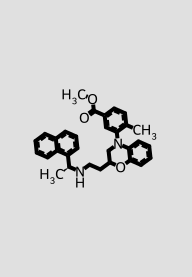 COC(=O)c1ccc(C)c(N2CC(CCN[C@H](C)c3cccc4ccccc34)Oc3ccccc32)c1